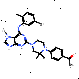 CNC(=O)c1ccc(N2CCN(c3nc(Nc4cc(C(C)(C)C)ccc4C)c4c(ncn4C(C)C)n3)CC2(C)C)cc1